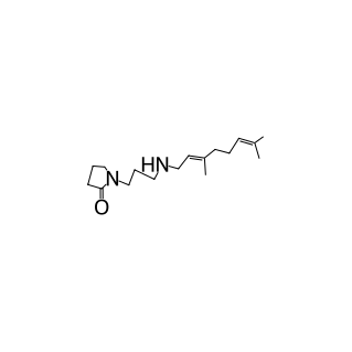 CC(C)=CCC/C(C)=C/CNCCCN1CCCC1=O